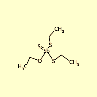 CC[O][Sb](=[S])([S]CC)[S]CC